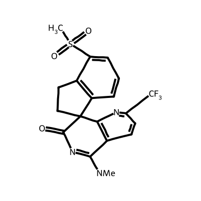 CNC1=NC(=O)C2(CCc3c2cccc3S(C)(=O)=O)c2nc(C(F)(F)F)ccc21